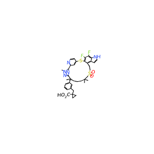 Cn1nc2nc1-c1cc(ccn1)Sc1c(F)c(F)c3[nH]ccc3c1CCS(=O)(=O)CC(C)(C)CCC[C@]2(C)c1cccc(CC2(C(=O)O)CC2)c1